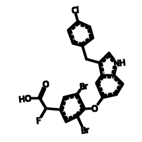 O=C(O)C(F)c1cc(Br)c(Oc2ccc3[nH]cc(Cc4ccc(Cl)cc4)c3c2)c(Br)c1